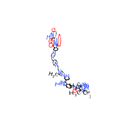 CC1=C(C(=O)Nc2ccc3[nH]nc(-c4ccnc(N5CCN(CCN6CCC(CN7CCN(c8ccc9c(c8)C(=O)N(C8CCC(=O)NC8=O)C9=O)CC7)CC6)[C@@H](C)C5)c4)c3c2)[C@H](C)n2nnnc2N1C